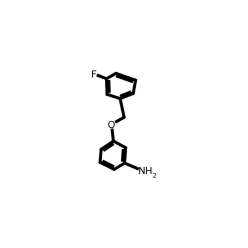 Nc1cccc(OCc2cccc(F)c2)c1